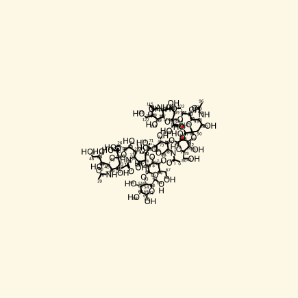 CC(=O)N[C@H]1[C@H](O[C@@H]2[C@H](O[C@]3(C(=O)O)C[C@H](O)[C@@H](NC(C)=O)[C@H]([C@H](O)[C@@H](CO)O[C@]4(C(=O)O)C[C@H](O)[C@@H](NC(C)=O)[C@H]([C@H](O)[C@H](O)CO)O4)O3)[C@@H](O)[C@H](O[C@H]3[C@H](O)[C@@H](O)[C@H](O)O[C@@H]3CO)O[C@@H]2CO)O[C@H](CO)[C@H](O)[C@@H]1O[C@@H]1O[C@H](CO)[C@H](O)[C@H](O[C@]2(C(=O)O)C[C@H](O)[C@@H](NC(C)=O)[C@H]([C@H](O)[C@@H](CO)O[C@]3(C(=O)O)C[C@H](O)[C@@H](NC(C)=O)[C@H]([C@H](O)[C@H](O)CO)O3)O2)[C@H]1O